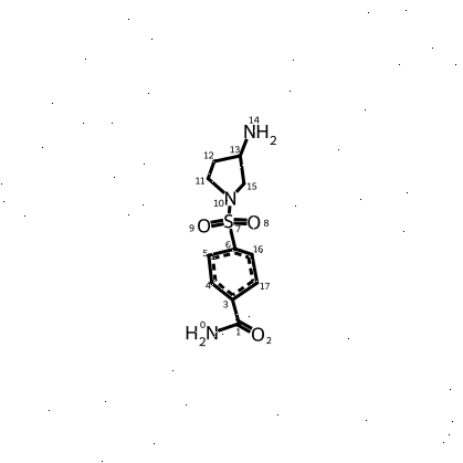 NC(=O)c1ccc(S(=O)(=O)N2CCC(N)C2)cc1